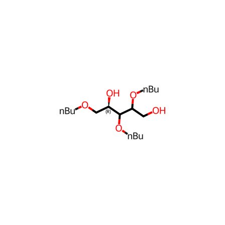 CCCCOC[C@@H](O)C(OCCCC)C(CO)OCCCC